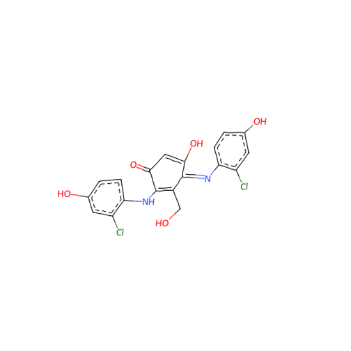 O=C1C=C(O)C(=Nc2ccc(O)cc2Cl)C(CO)=C1Nc1ccc(O)cc1Cl